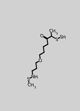 CSNCCCOCCCCC(=O)C(C)SS